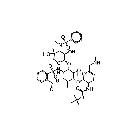 CNCC1=CC[C@@H](NC(=O)OC(C)(C)C)[C@@H](O[C@H]2[C@H](O)[C@@H](O[C@H]3OC[C@](C)(O)[C@H](N(C)S(=O)(=O)c4ccccc4)[C@H]3O)[C@H](NS(=O)(=O)c3ccccc3[N+](=O)[O-])C[C@@H]2C)O1